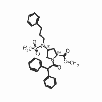 COC(=O)[C@@H]1C[C@H](N(CCCc2ccccc2)S(C)(=O)=O)CN1C(=O)C(c1ccccc1)c1ccccc1